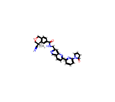 C[C@@]1(C#N)COCc2ccc(C(=O)NCc3cc4nc(-c5cccc(N6CCCC6=O)n5)ccc4cn3)cc21